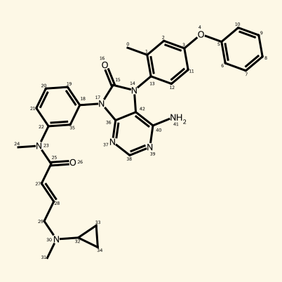 Cc1cc(Oc2ccccc2)ccc1-n1c(=O)n(-c2cccc(N(C)C(=O)/C=C/CN(C)C3CC3)c2)c2ncnc(N)c21